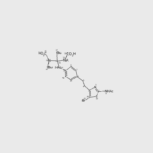 CC(=O)Nc1nc(CCc2ccc(NC(NC(=O)O)(N(C(=O)O)C(C)(C)C)C(C)(C)C)cc2)c(Br)s1